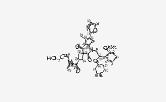 COc1ccccc1[C@H](CN1c2sc(-c3ncco3)c(C)c2C(=O)[C@]2(C[C@H](C(=O)N(C)CC(=O)O)C2)C1=O)OC1CCOCC1